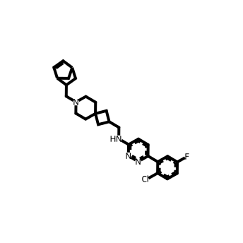 Fc1ccc(Cl)c(-c2ccc(NCC3CC4(CCN(CC5CC6C=CC5C6)CC4)C3)nn2)c1